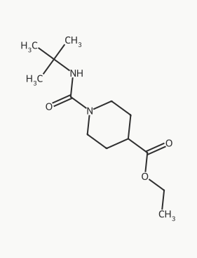 CCOC(=O)C1CCN(C(=O)NC(C)(C)C)CC1